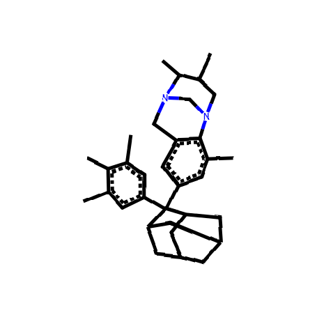 Cc1cc(C2(c3cc(C)c4c(c3)CN3CN4CC(C)C3C)C3CC4CC(C3)CC2C4)cc(C)c1C